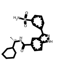 C[C@H](NC(=O)c1ccc2[nH]nc(-c3cccc(S(N)(=O)=O)c3)c2c1)C1CCCCC1